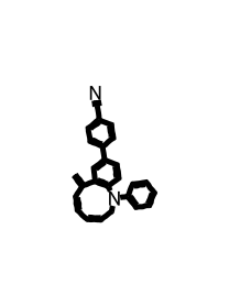 C=C1/C=C\C=C/CN(c2ccccc2)c2ccc(-c3ccc(C#N)cc3)cc21